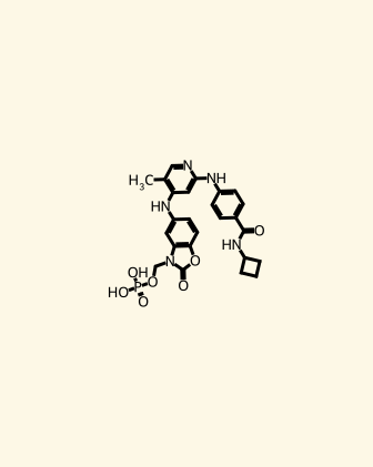 Cc1cnc(Nc2ccc(C(=O)NC3CCC3)cc2)cc1Nc1ccc2oc(=O)n(COP(=O)(O)O)c2c1